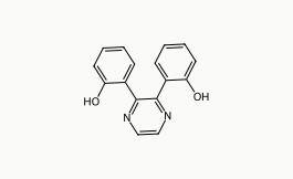 Oc1ccccc1-c1nccnc1-c1ccccc1O